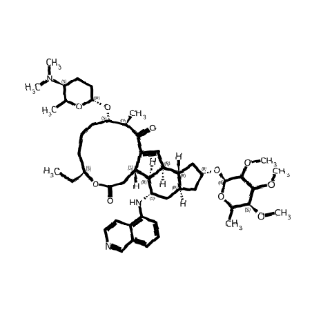 CC[C@H]1CCC[C@H](O[C@H]2CC[C@H](N(C)C)C(C)O2)[C@@H](C)C(=O)C2=C[C@H]3[C@@H]4C[C@H](O[C@@H]5OC(C)[C@H](OC)C(OC)C5OC)C[C@H]4C[C@H](Nc4cccc5cnccc45)[C@H]3[C@@H]2CC(=O)O1